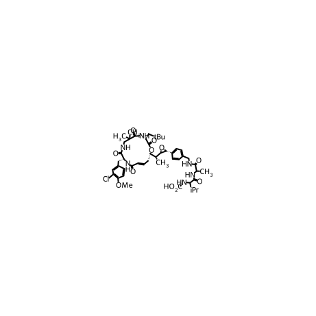 COc1ccc(C[C@H]2NC(=O)/C=C/C[C@@H]([C@H](C)[C@H]3O[C@@H]3c3ccc(CNC(=O)C(C)NC(=O)C(NC(=O)O)C(C)C)cc3)OC(=O)[C@H](CC(C)(C)C)NC(=O)C(C)(C)CNC2=O)cc1Cl